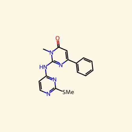 CSc1nccc(Nc2nc(-c3ccccc3)cc(=O)n2C)n1